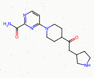 NC(=O)c1nccc(N2CCC(C(=O)[CH]C3CCNC3)CC2)n1